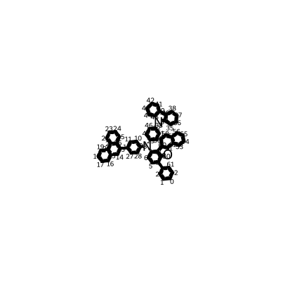 c1ccc(-c2ccc(N(c3ccc(-c4cc5ccccc5c5ccccc45)cc3)c3ccc(-n4c5ccccc5c5ccccc54)cc3)c3c2oc2c4ccccc4ccc23)cc1